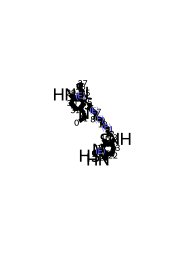 CCN1C2=C(S/C1=C/C=C/C=C/C1NC3=C(S1)/C(=N/S)C(=N)C=C3)/C(=N/SC)C(=N)C=C2